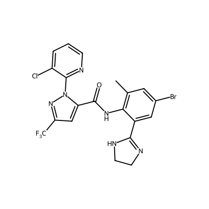 Cc1cc(Br)cc(C2=NCCN2)c1NC(=O)c1cc(C(F)(F)F)nn1-c1ncccc1Cl